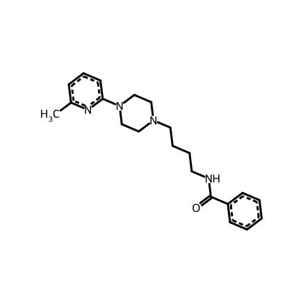 Cc1cccc(N2CCN(CCCCNC(=O)c3ccccc3)CC2)n1